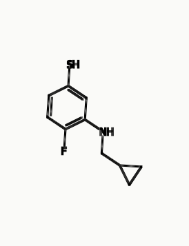 Fc1ccc(S)cc1NCC1CC1